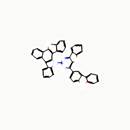 c1ccc2c(c1)oc1ccc(-c3nc(-n4c5ccccc5c5c6ccccc6c6sc7ccccc7c6c54)nc4c3sc3ccccc34)cc12